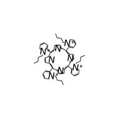 CCCC[n+]1ccccc1C1=C2C=CC(=N2)C(c2cccc[n+]2CCCC)=C2C=CC(=N2)C(c2cccc[n+]2CCCC)=C2C=CC(=N2)C(c2cccc[n+]2CCCC)=C2C=CC1=N2